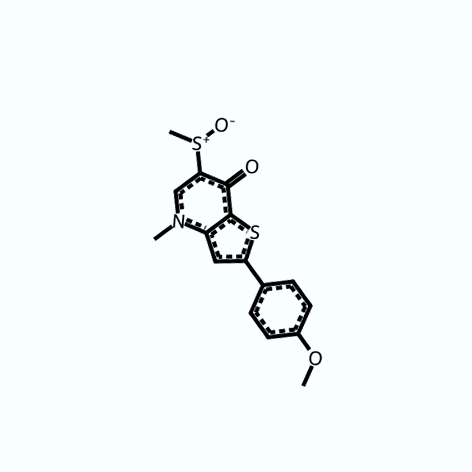 COc1ccc(-c2cc3c(s2)c(=O)c([S+](C)[O-])cn3C)cc1